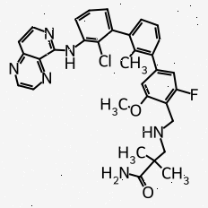 COc1cc(-c2cccc(-c3cccc(Nc4nccc5nccnc45)c3Cl)c2C)cc(F)c1CNCC(C)(C)C(N)=O